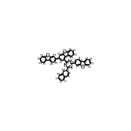 C1=CC(c2nc(-c3ccc4c(c3)oc3ccccc34)nc(-c3cc(-c4ccc5c(c4)oc4ccccc45)cc4oc5ccccc5c34)n2)Cc2ccccc21